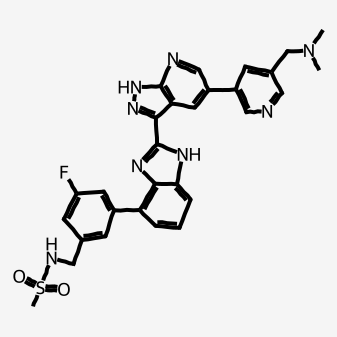 CN(C)Cc1cncc(-c2cnc3[nH]nc(-c4nc5c(-c6cc(F)cc(CNS(C)(=O)=O)c6)cccc5[nH]4)c3c2)c1